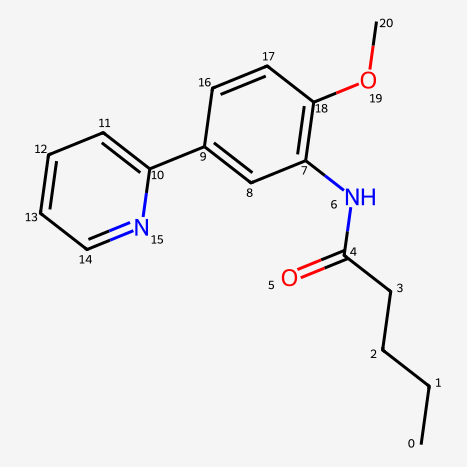 CCCCC(=O)Nc1cc(-c2ccccn2)ccc1OC